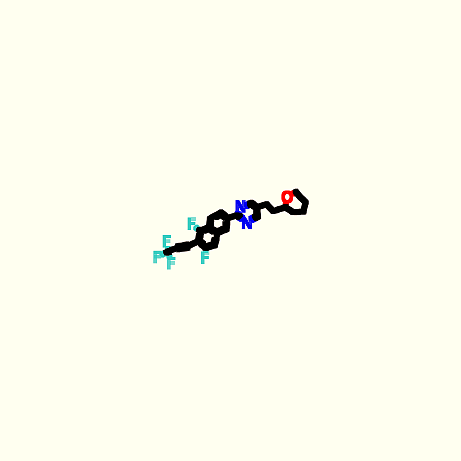 Fc1cc2cc(-c3ncc(CCC4CCCCO4)cn3)ccc2c(F)c1C#CC(F)(F)F